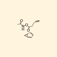 C#CCCC(=O)ONC(C)=O.c1cc2cc-2c1